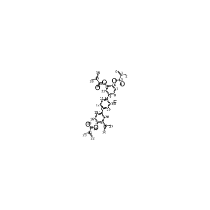 C=C(C)C(=O)Oc1ccc(-c2ccc(-c3ccc(OC(=O)C(=C)C)c(C(=C)C)c3)cc2F)cc1OC(=O)C(=C)C